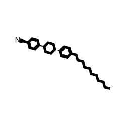 CCCCCCCCCCCc1ccc([C@H]2CC[C@H](c3ccc(C#N)cc3)CC2)cc1